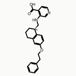 O=C(O)c1ccncc1NC[C@@H]1CCCc2cc(OCCc3ccccc3)ccc21